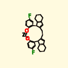 Fc1ccc2c(c1)C1C(=CC3=C1CCCC3)CCC1=CC3=C(CCCC3)C1c1cc(F)ccc1[O][Zr][O]2